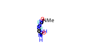 CNC(=O)c1ccc(N2CCN(Cc3ccc4c([nH]c(=O)c5c[nH]nc54)c3CF)CC2)c(F)n1